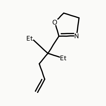 C=CCC(CC)(CC)C1=NCCO1